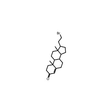 CC12CCC(=O)C=C1CCC1C2CCC2(C)C(CCBr)CCC12